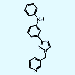 c1ccc(Nc2cccc(-c3ccn(Cc4cccnc4)n3)c2)cc1